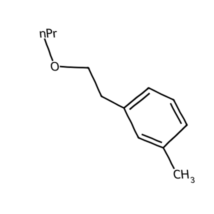 CCCOCCc1cccc(C)c1